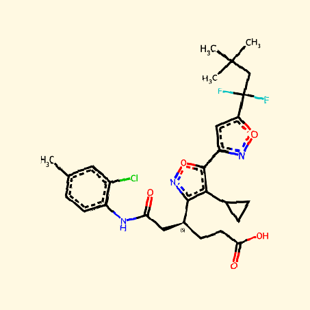 Cc1ccc(NC(=O)C[C@H](CCC(=O)O)c2noc(-c3cc(C(F)(F)CC(C)(C)C)on3)c2C2CC2)c(Cl)c1